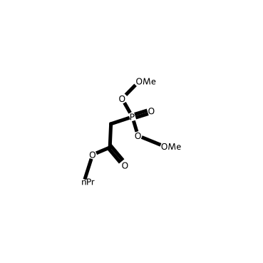 CCCOC(=O)CP(=O)(OOC)OOC